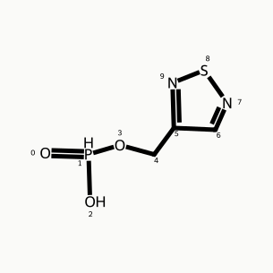 O=[PH](O)OCc1cnsn1